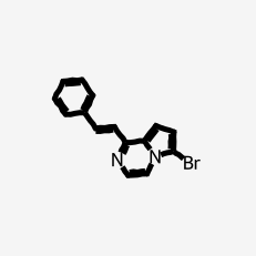 Brc1ccc2c(C=Cc3ccccc3)nccn12